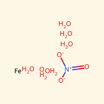 O.O.O.O.O.O.O=[N+]([O-])[O-].[Fe]